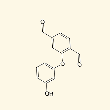 O=Cc1ccc(C=O)c(Oc2cccc(O)c2)c1